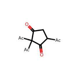 CC(=O)C1CC(=O)C(C(C)=O)(C(C)=O)C1=O